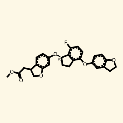 COC(=O)CC1COc2cc(O[C@@H]3CCc4c(Oc5ccc6c(c5)CCO6)ccc(F)c43)ccc21